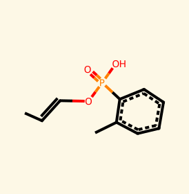 CC=COP(=O)(O)c1ccccc1C